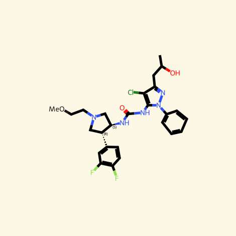 COCCN1C[C@@H](NC(=O)Nc2c(Cl)c(CC(C)O)nn2-c2ccccc2)[C@H](c2ccc(F)c(F)c2)C1